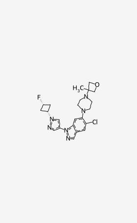 CC1(N2CCN(c3cc4c(cnn4-c4cnn([C@H]5C[C@@H](F)C5)c4)cc3Cl)CC2)COC1